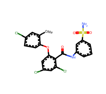 COc1cc(Cl)ccc1Oc1cc(Cl)cc(Cl)c1C(=O)Nc1cccc(S(N)(=O)=O)c1